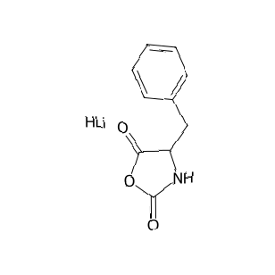 O=C1NC(Cc2ccccc2)C(=O)O1.[LiH]